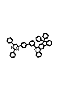 c1ccc(-c2cc(-c3ccc(-c4cccc(-c5nc6ccccc6c6cc7c(cc56)C(c5ccccc5)(c5ccccc5)c5ccccc5-7)c4)cc3)nc(-c3ccccc3)n2)cc1